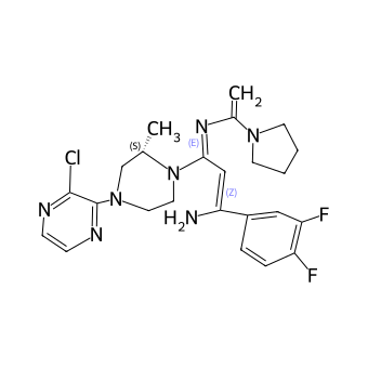 C=C(/N=C(\C=C(/N)c1ccc(F)c(F)c1)N1CCN(c2nccnc2Cl)C[C@@H]1C)N1CCCC1